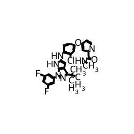 CNC(=O)c1cc(Oc2ccc(Nc3cc4c(C(C)(C)C)nn(-c5cc(F)cc(F)c5)c4[nH]3)c(Cl)c2)ccn1